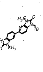 Cn1c(=O)n(C)c2cc(-c3ccc4c(n3)n(C)c(=O)n4CC(C)(C)C)ccc21